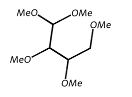 COCC(OC)C(OC)C(OC)OC